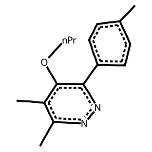 CCCOc1c(-c2ccc(C)cc2)nnc(C)c1C